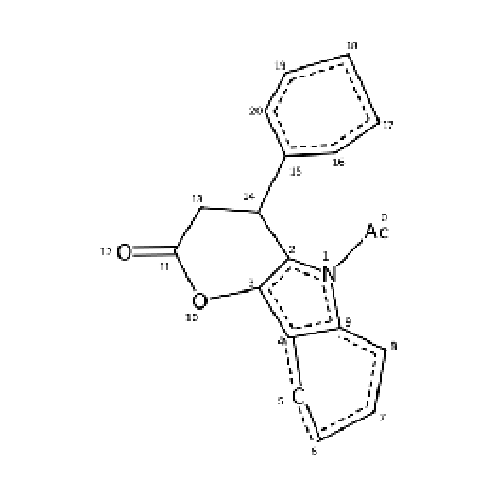 CC(=O)n1c2c(c3ccccc31)OC(=O)CC2c1ccccc1